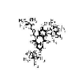 COc1cc2c(cc1O[Si](C(C)C)(C(C)C)C(C)C)C(=O)N1C[C@H](O[Si](C)(C)C(C)(C)C)C[C@H]1C(=O)N2COCC[Si](C)(C)C